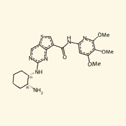 COc1cc(NC(=O)c2csc3cnc(N[C@H]4CCCC[C@H]4N)nc23)nc(OC)c1OC